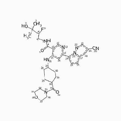 CC(C)(O)C(F)CNC(=O)c1cnc(-c2ccc3cc(C#N)cnn23)cc1NC1CCC(C(=O)N2CCOCC2)CC1